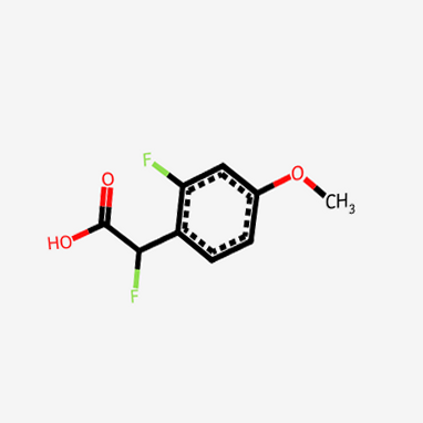 COc1ccc(C(F)C(=O)O)c(F)c1